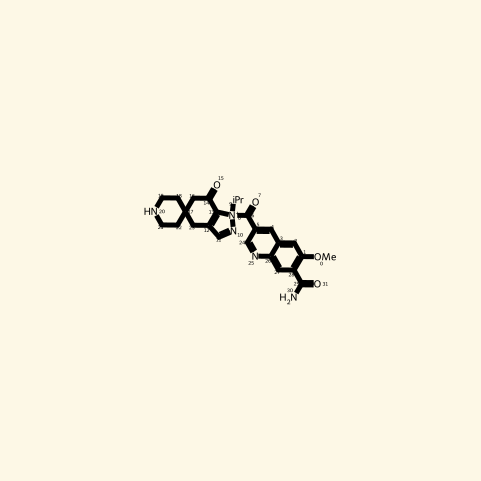 COc1cc2cc(C(=O)[N+]3(C(C)C)N=CC4=C3C(=O)CC3(CCNCC3)C4)cnc2cc1C(N)=O